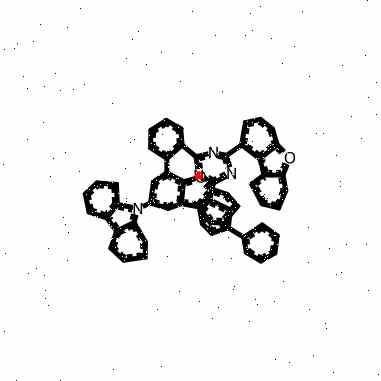 c1ccc(-c2cccc(-c3nc(-c4ccccc4-c4cc(-n5c6ccccc6c6ccccc65)cc5c4oc4ccccc45)nc(-c4cccc5oc6ccccc6c45)n3)c2)cc1